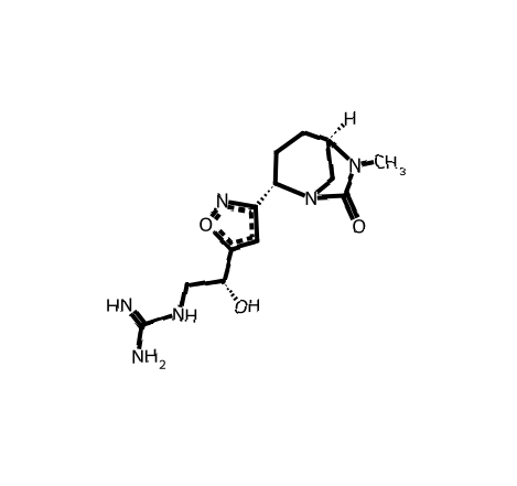 CN1C(=O)N2C[C@H]1CC[C@H]2c1cc([C@H](O)CNC(=N)N)on1